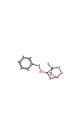 CC12CCC(CC1OCc1ccccc1)O2